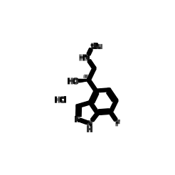 CC(C)(C)NC[C@H](O)c1ccc(F)c2[nH]ncc12.Cl